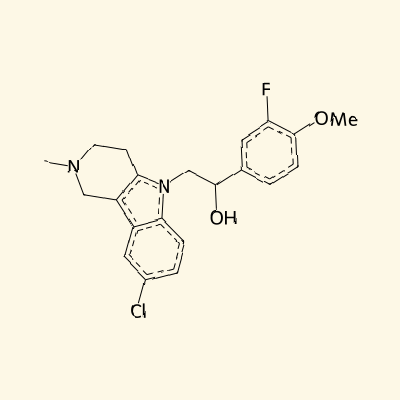 COc1ccc(C(O)Cn2c3c(c4cc(Cl)ccc42)CN(C)CC3)cc1F